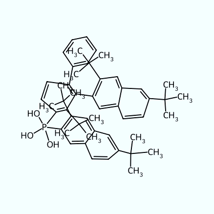 CC(C)(C)c1ccc2cc(-c3c(-c4ccccc4)ccc(P(O)(O)(O)c4cc5ccc(C(C)(C)C)cc5cc4C(C)(C)C)c3C(C)(C)C)c(C(C)(C)C)cc2c1